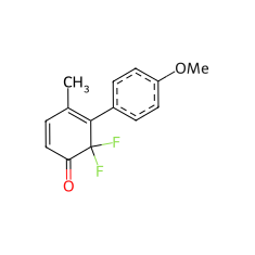 COc1ccc(C2=C(C)C=CC(=O)C2(F)F)cc1